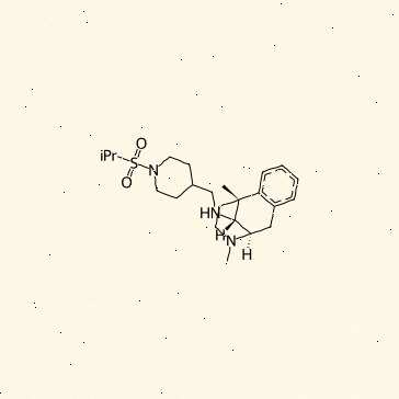 CC(C)S(=O)(=O)N1CCC(CN[C@H]2[C@H]3Cc4ccccc4[C@@]2(C)CCN3C)CC1